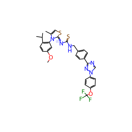 COc1ccc(C(C)C)c(-n2c(C)cs/c2=N\C(=S)NCc2ccc(-c3ncn(-c4ccc(OC(F)(F)F)cc4)n3)cc2)c1